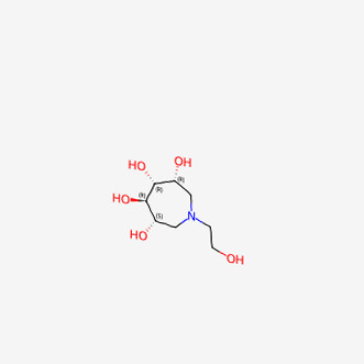 OCCN1C[C@@H](O)[C@@H](O)[C@H](O)[C@@H](O)C1